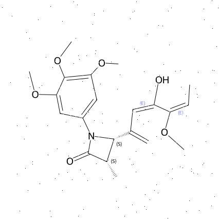 C=C(/C=C(O)\C(=C/C)OC)[C@@H]1[C@H](C)C(=O)N1c1cc(OC)c(OC)c(OC)c1